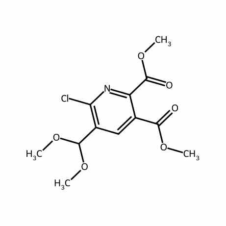 COC(=O)c1cc(C(OC)OC)c(Cl)nc1C(=O)OC